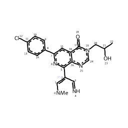 CN/C=C(\C=N)c1nc(-c2ccc(Cl)cc2)cc2c(=O)n(CC(C)O)cnc12